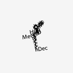 CCCCCCCCCCCCCCCCOCC(COP(=O)(O)Oc1ccccc1C[n+]1ccsc1)OC